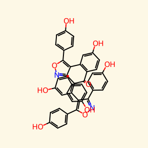 O=C(c1ccc(O)cc1-c1c(-c2ccc(O)cc2)noc1-c1ccc(O)cc1)c1ccc(O)cc1-c1c(-c2ccc(O)cc2)noc1-c1ccc(O)cc1